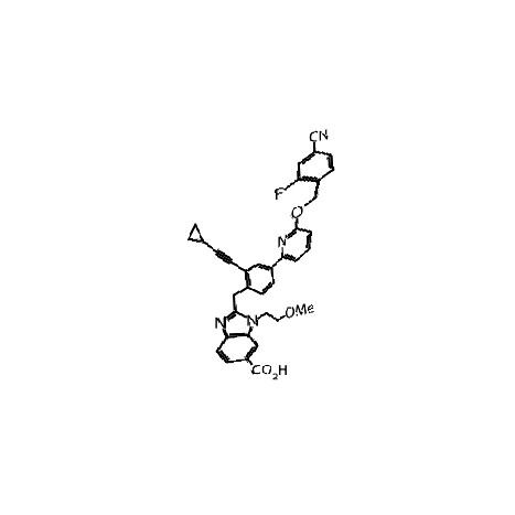 COCCn1c(Cc2ccc(-c3cccc(OCc4ccc(C#N)cc4F)n3)cc2C#CC2CC2)nc2ccc(C(=O)O)cc21